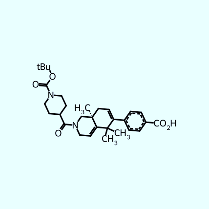 CC(C)(C)OC(=O)N1CCC(C(=O)N2CC=C3C(C)(C)C(c4ccc(C(=O)O)cc4)=CC[C@]3(C)C2)CC1